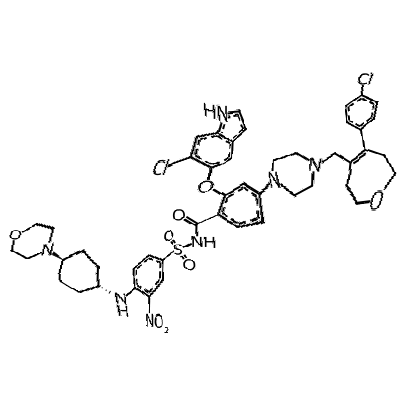 O=C(NS(=O)(=O)c1ccc(N[C@H]2CC[C@H](N3CCOCC3)CC2)c([N+](=O)[O-])c1)c1ccc(N2CCN(CC3=C(c4ccc(Cl)cc4)CCOCC3)CC2)cc1Oc1cc2cc[nH]c2cc1Cl